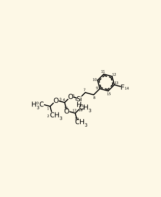 CC(C)OC(O[SiH2]CCc1cccc(F)c1)OC(C)C